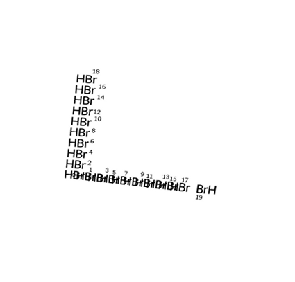 Br.Br.Br.Br.Br.Br.Br.Br.Br.Br.Br.Br.Br.Br.Br.Br.Br.Br.Br.Br